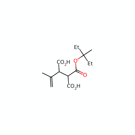 C=C(C)C(C(=O)O)C(C(=O)O)C(=O)OC(C)(CC)CC